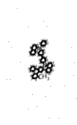 CC1C=CC=CC1c1ccc(N(c2ccc(-c3ccc(N(c4ccccc4)c4cccc5ccccc45)cc3)cc2)c2cccc3ccccc23)cc1-c1ccccc1